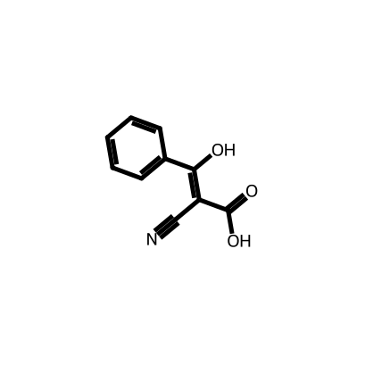 N#C/C(C(=O)O)=C(/O)c1ccccc1